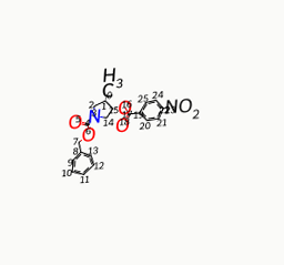 C[C@H]1CN(C(=O)OCc2ccccc2)C[C@H]1OC(=O)c1ccc([N+](=O)[O-])cc1